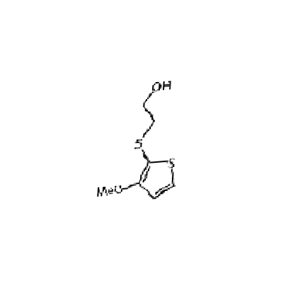 COc1ccsc1SCCO